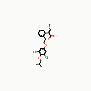 CO/C=C(/C(=O)O)c1ccccc1CCOc1cc(Cl)c(OCC(C)C)c(Cl)c1